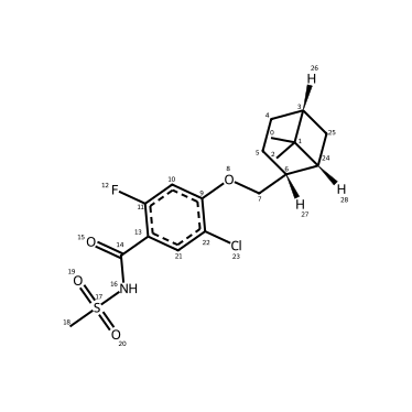 CC1(C)[C@@H]2CC[C@@H](COc3cc(F)c(C(=O)NS(C)(=O)=O)cc3Cl)[C@H]1C2